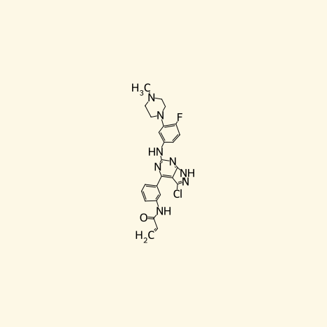 C=CC(=O)Nc1cccc(-c2nc(Nc3ccc(F)c(N4CCN(C)CC4)c3)nc3[nH]nc(Cl)c23)c1